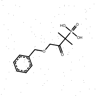 CC(C)(C(=O)COCc1ccccc1)P(=O)(O)O